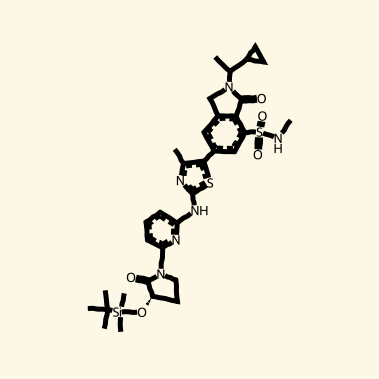 CNS(=O)(=O)c1cc(-c2sc(Nc3cccc(N4CC[C@H](O[Si](C)(C)C(C)(C)C)C4=O)n3)nc2C)cc2c1C(=O)N(C(C)C1CC1)C2